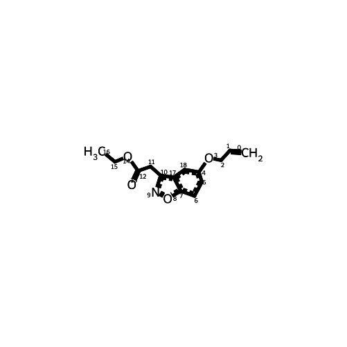 C=CCOc1ccc2onc(CC(=O)OCC)c2c1